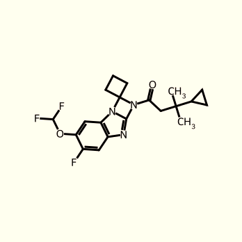 CC(C)(CC(=O)N1c2nc3cc(F)c(OC(F)F)cc3n2C12CCC2)C1CC1